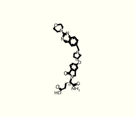 NC(=O)[C@H](CCC(=O)O)N1Cc2cc(O[C@H]3CCN(Cc4ccc5nc(N6CCOCC6)ncc5c4)C3)ccc2C1=O